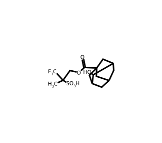 CC(COC(=O)C12CC3CC(C1)C(O)C(C3)C2)(C(F)(F)F)S(=O)(=O)O